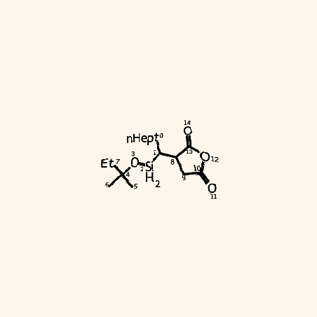 CCCCCCCC([SiH2]OC(C)(C)CC)C1CC(=O)OC1=O